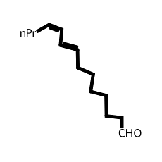 CCC/C=C\C=C\CCCCCCC=O